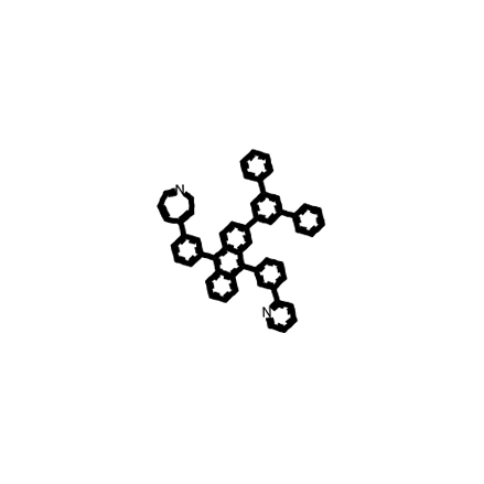 C1=CC(c2cccc(-c3c4ccccc4c(-c4cccc(-c5ccccn5)c4)c4cc(-c5cc(-c6ccccc6)cc(-c6ccccc6)c5)ccc34)c2)=CCN=C1